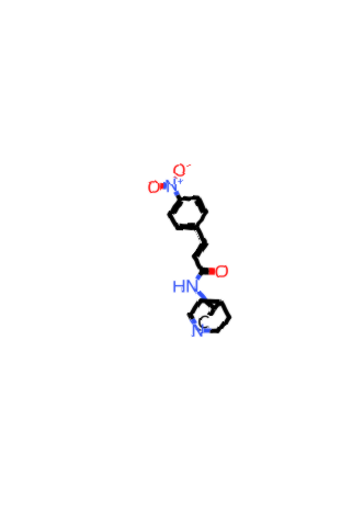 O=C(/C=C/c1ccc([N+](=O)[O-])cc1)NC1CN2CCC1CC2